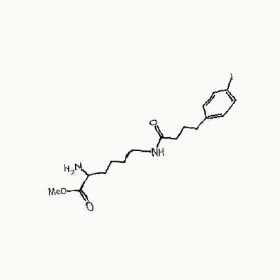 COC(=O)C(N)CCCCNC(=O)CCCc1ccc(I)cc1